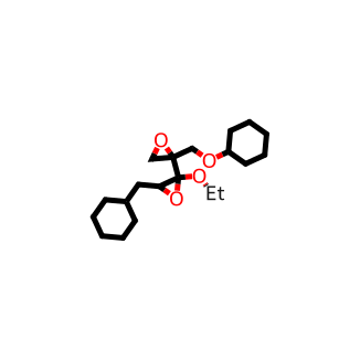 CCOC1(C2(COC3CCCCC3)CO2)OC1CC1CCCCC1